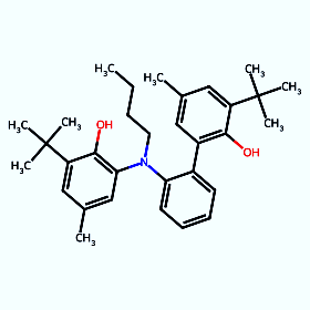 CCCCN(c1ccccc1-c1cc(C)cc(C(C)(C)C)c1O)c1cc(C)cc(C(C)(C)C)c1O